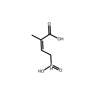 CC(=CC[PH](=O)O)C(=O)O